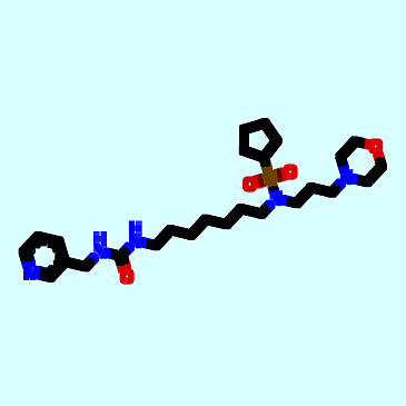 O=C(NCCCCCCCN(CCCN1CCOCC1)S(=O)(=O)C1CCCC1)NCc1cccnc1